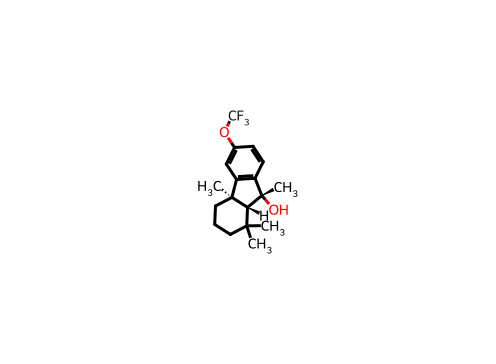 CC1(C)CCC[C@@]2(C)c3cc(OC(F)(F)F)ccc3[C@](C)(O)[C@H]12